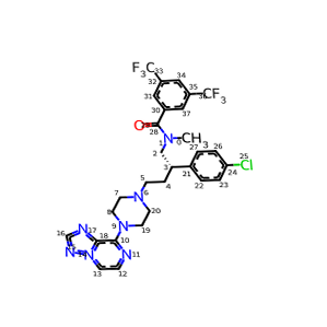 CN(C[C@@H](CCN1CCN(c2nccn3ncnc23)CC1)c1ccc(Cl)cc1)C(=O)c1cc(C(F)(F)F)cc(C(F)(F)F)c1